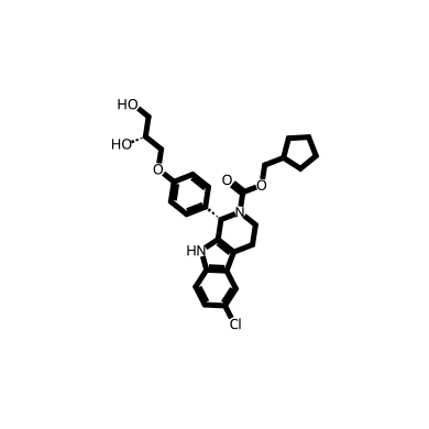 O=C(OCC1CCCC1)N1CCc2c([nH]c3ccc(Cl)cc23)[C@@H]1c1ccc(OC[C@H](O)CO)cc1